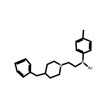 CC(=O)N(CCN1CCC(Cc2ccccc2)CC1)c1ccc(C)cc1